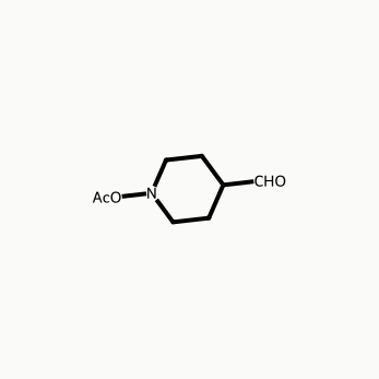 CC(=O)ON1CCC(C=O)CC1